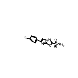 NS(=O)(=O)c1nn2cc(-c3ccc(F)cc3)nc2s1